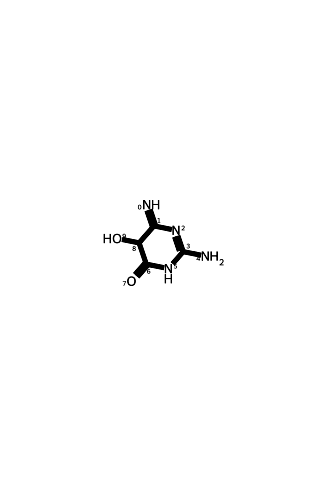 N=C1N=C(N)NC(=O)C1O